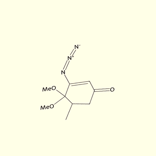 COC1(OC)C(N=[N+]=[N-])=CC(=O)CC1C